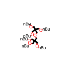 CCCCOCC(COCCCC)(COCCCC)COCC(COCCCC)(COCCCC)COCCCC